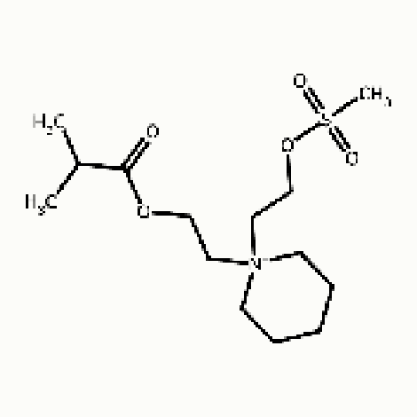 CC(C)C(=O)OCC[N+]1(CCOS(C)(=O)=O)CCCCC1